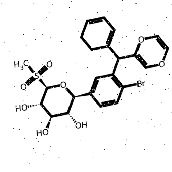 CS(=O)(=O)[C@H]1O[C@@H](c2ccc(Br)c(C(C3=CC=CCC3)C3=COC=CO3)c2)[C@H](O)[C@@H](O)[C@@H]1O